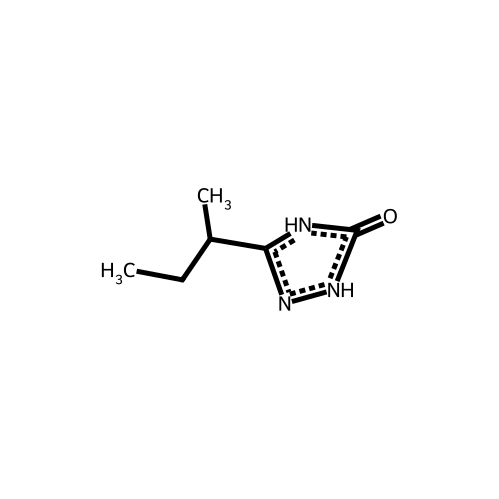 CCC(C)c1n[nH]c(=O)[nH]1